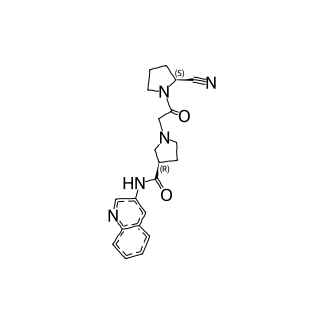 N#C[C@@H]1CCCN1C(=O)CN1CC[C@@H](C(=O)Nc2cnc3ccccc3c2)C1